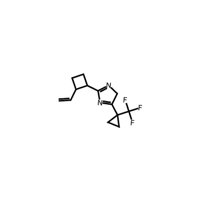 C=CC1CCC1C1=NCC(C2(C(F)(F)F)CC2)=N1